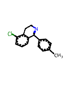 Cc1ccc(C2=NCCc3c(Cl)cccc32)cc1